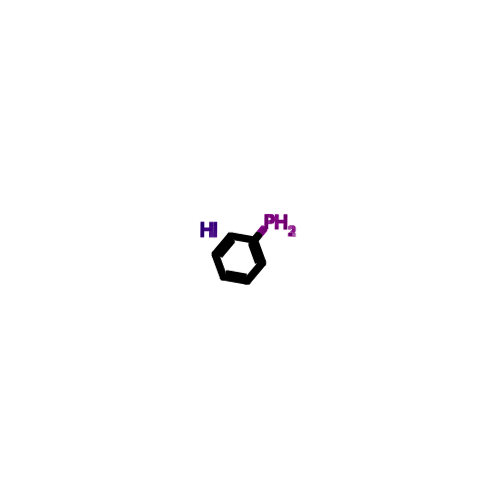 I.Pc1ccccc1